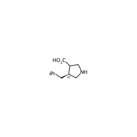 CC(C)C[C@@H]1CNCC1C(=O)O